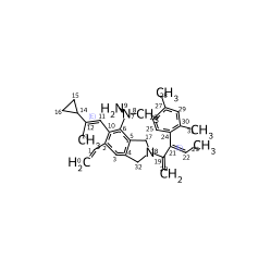 C=Cc1cc2c(c(N(C)N)c1/C=C(\C)C1CC1)CN(C(=C)/C(=C/C)c1ccc(C)cc1C)C2